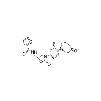 O=C(NCC1CN(c2ccc(N3CCC[S+]([O-])CC3)c(F)c2)C(=O)O1)c1ccco1